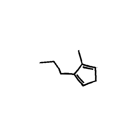 CCCC1=CC[C]=C1C